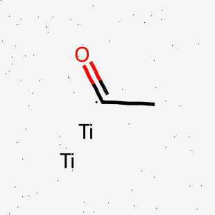 C[C]=O.[Ti].[Ti]